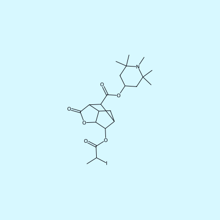 CC(I)C(=O)OC1C2CC3C1OC(=O)C3C2C(=O)OC1CC(C)(C)N(C)C(C)(C)C1